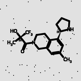 Cc1cc2c(c([C@@H]3CCCN3)c1)CCN(C(=O)[C@](C)(O)C(F)(F)F)C2